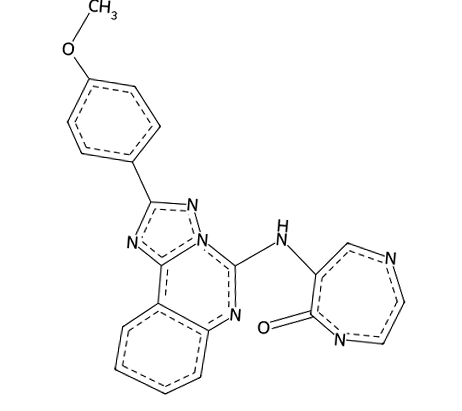 COc1ccc(-c2nc3c4ccccc4nc(Nc4cnccnc4=O)n3n2)cc1